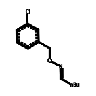 CCCCC=NOCc1cccc(Cl)c1